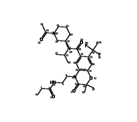 CCC(=O)NCCN1C(=O)C(C)(C)Oc2cc(C(F)(F)F)c(C(=O)N(C(C)C)[C@@H]3CCCN(C(C)=O)C3)cc21